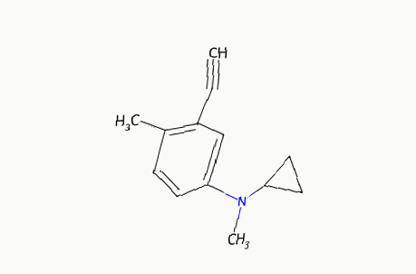 C#Cc1cc(N(C)C2CC2)ccc1C